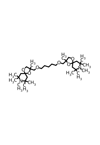 CN1C(C)(C)CC2(CC1(C)C)OCC(C)(COCCCCCOCC1(C)COC3(CC(C)(C)N(C)C(C)(C)C3)O1)O2